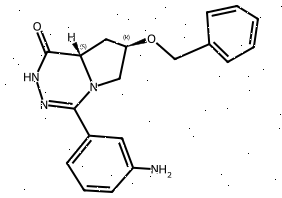 Nc1cccc(C2=NNC(=O)[C@@H]3C[C@@H](OCc4ccccc4)CN23)c1